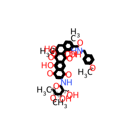 COc1ccc(CNC(=O)c2c(C)cc3c(c2O)[C@]2(O)C(=O)c4cc5c(c(O)c4C(=O)[C@]2(OC)[C@H](O)C3)C(=O)C=C(NC2O[C@@H](C)[C@H](OC)[C@@H](O)[C@H]2CO)C5=O)cc1